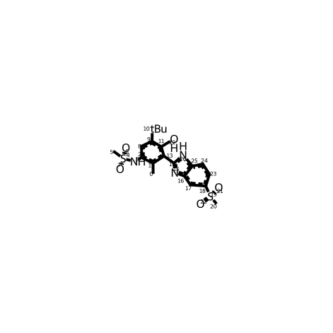 Cc1c(NS(C)(=O)=O)cc(C(C)(C)C)c(O)c1-c1nc2cc(S(C)(=O)=O)ccc2[nH]1